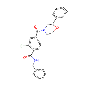 O=C(NCc1ccccc1)c1ccc(C(=O)N2CCOC(c3ccccc3)C2)cc1F